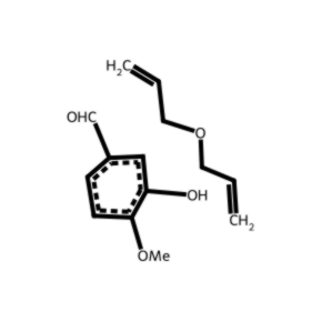 C=CCOCC=C.COc1ccc(C=O)cc1O